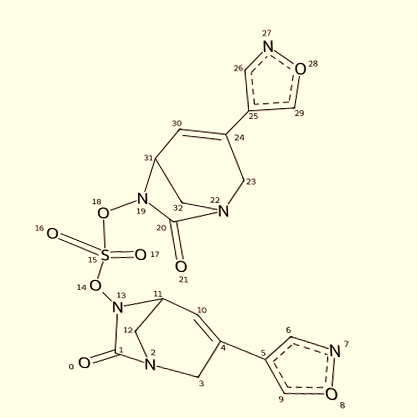 O=C1N2CC(c3cnoc3)=CC(C2)N1OS(=O)(=O)ON1C(=O)N2CC(c3cnoc3)=CC1C2